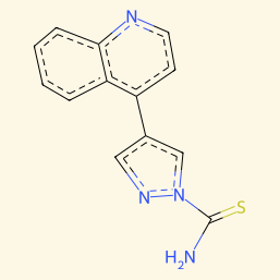 NC(=S)n1cc(-c2ccnc3ccccc23)cn1